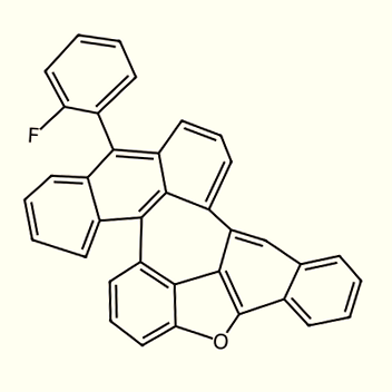 Fc1ccccc1-c1c2ccccc2c2c3c(cccc13)-c1cc3ccccc3c3oc4cccc-2c4c13